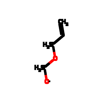 C=C[SiH2]O[SiH2][O]